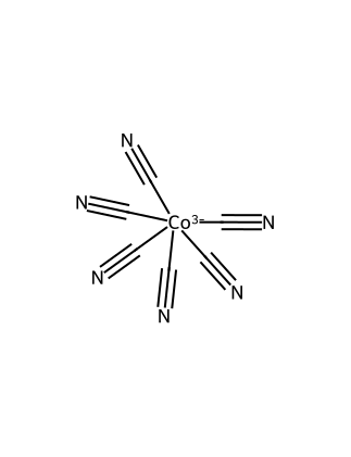 N#[C][Co-3]([C]#N)([C]#N)([C]#N)([C]#N)[C]#N